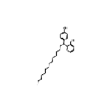 CCCCCCCCCCCCCCC(c1ccc(O)cc1)c1ccccc1O